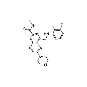 Cc1c(F)cccc1NCc1cc(C(=O)N(C)C)cc2ncc(N3CCOCC3)nc12